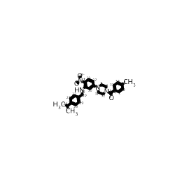 Cc1ccc(C(=O)N2CCN(c3ccc([N+](=O)[O-])c(NCc4ccc(C(C)C)cc4)c3)CC2)cc1